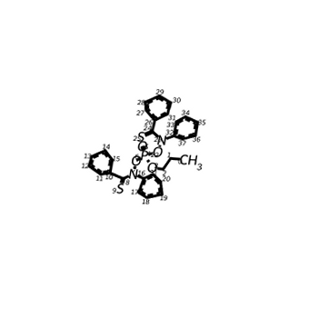 CCCOP(=O)(ON(C(=S)c1ccccc1)c1ccccc1)ON(C(=S)c1ccccc1)c1ccccc1